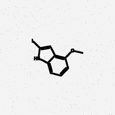 COc1cccc2[nH]c(I)cc12